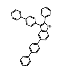 c1ccc(-c2ccc(-c3ccc4[nH]c(-c5ccccc5)c(-c5ccc(-c6ccccc6)cc5)c4c3)cc2)cc1